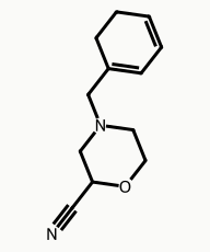 N#CC1CN(CC2=CC=CCC2)CCO1